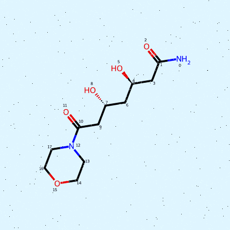 NC(=O)C[C@H](O)C[C@@H](O)CC(=O)N1CCOCC1